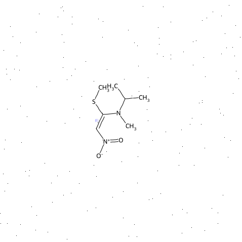 CS/C(=C/[N+](=O)[O-])N(C)C(C)C